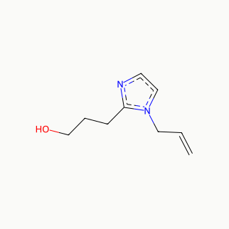 C=CCn1ccnc1CCCO